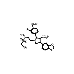 CCCN(CCN1CC(c2ccc3c(c2)OCO3)C(C(=O)O)C1c1ccc(OC)c(F)c1)S(=O)(=O)CC(C)C